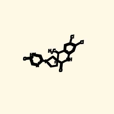 CC1c2cc(Cl)c(Cl)cc2NC(=O)[C@@]12CCN(c1c[nH]c(=O)cn1)C2